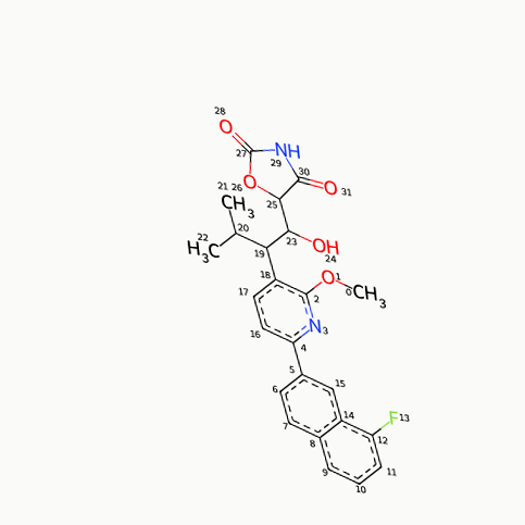 COc1nc(-c2ccc3cccc(F)c3c2)ccc1C(C(C)C)C(O)C1OC(=O)NC1=O